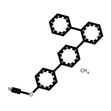 C.N#COc1ccc(-c2ccc(-c3ccccc3-c3ccccc3)cc2)cc1